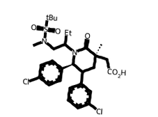 CCC(CN(C)S(=O)(=O)C(C)(C)C)N1C(=O)[C@@](C)(CC(=O)O)CC(c2cccc(Cl)c2)[C@H]1c1ccc(Cl)cc1